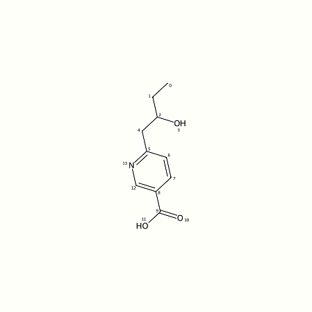 CCC(O)Cc1ccc(C(=O)O)cn1